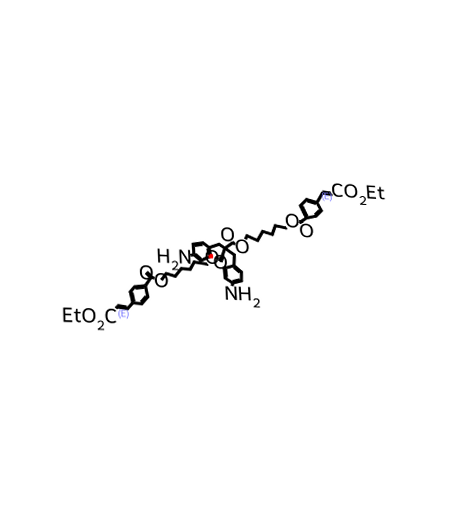 CCOC(=O)/C=C/c1ccc(C(=O)OCCCCCCOC(=O)C(Cc2ccc(N)cc2)(Cc2ccc(N)cc2)C(=O)OCCCCCCOC(=O)c2ccc(/C=C/C(=O)OCC)cc2)cc1